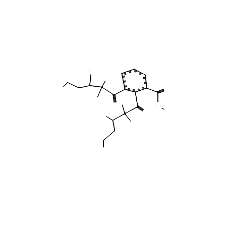 CCCC(C)C(C)(C)C(=O)c1cccc(C(=O)OO)c1C(=O)C(C)(C)C(C)CCC